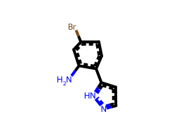 Nc1cc(Br)ccc1-c1ccn[nH]1